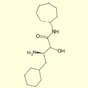 N[C@H](CC1CCCCC1)C(O)C(=O)NC1CCCCCC1